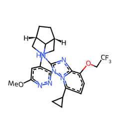 COc1cc(N2C[C@H]3CC[C@@H](C2)C3Nc2nc3c(OCC(F)(F)F)ccc(C4CC4)n3n2)cnn1